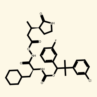 CC(CC(=O)ONC(=O)[C@H](CC1CCCCC1)NC(=O)OC(c1cccc(F)c1)C(C)(C)c1cccc(Cl)c1)[C@@H]1CCNC1=O